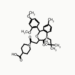 COc1ccc(C2OC(CC(=O)N3CCC(C(=O)O)CC3)C(=O)N(CC(C)(C)C)c3ccc(C)cc32)c(OC)c1